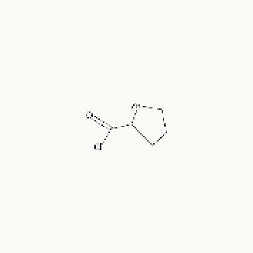 O=C(Cl)[CH]1CC[CH2][Zn]1